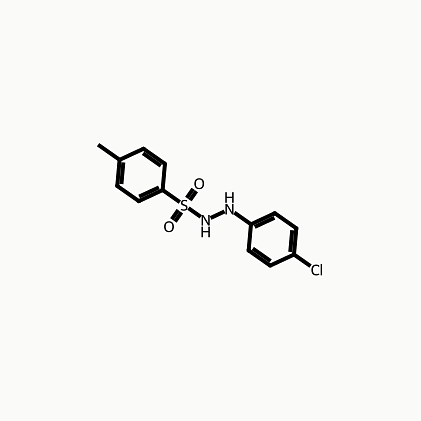 Cc1ccc(S(=O)(=O)NNc2ccc(Cl)cc2)cc1